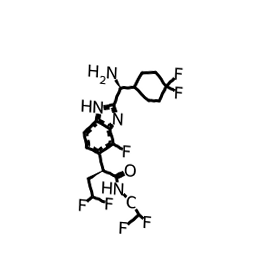 N[C@H](c1nc2c(F)c([C@H](CC(F)F)C(=O)NCC(F)F)ccc2[nH]1)C1CCC(F)(F)CC1